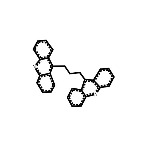 c1ccc2c(CCCc3c4ccccc4nc4ccccc34)c3ccccc3nc2c1